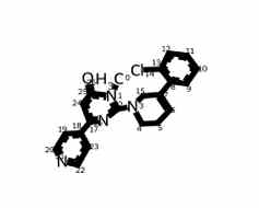 Cn1c(N2CCC=C(c3ccccc3Cl)C2)nc(-c2ccncc2)cc1=O